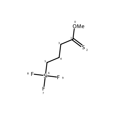 COC(=S)CCC[Si](F)(F)F